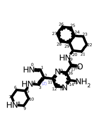 N=C/C(=C\NC1CCNCC1)c1cnc(N)c(C(=O)NC2CCCc3ccccc32)n1